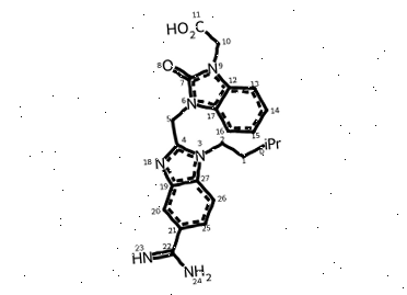 CC(C)CCn1c(Cn2c(=O)n(CC(=O)O)c3ccccc32)nc2cc(C(=N)N)ccc21